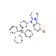 Brc1ccc2c(c1)N1C=CC=CN1N2c1cccc([Si](c2ccccc2)(c2ccccc2)c2ccccc2)c1